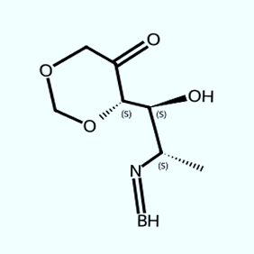 B=N[C@@H](C)[C@H](O)[C@@H]1OCOCC1=O